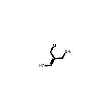 OC=C(C[SiH3])CCl